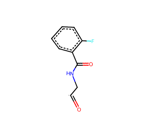 O=[C]CNC(=O)c1ccccc1F